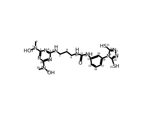 CN(O)c1nc(NCCCNC(=O)Nc2cccc(-n3c(S)nnc3S)c2)nc(N(C)O)n1